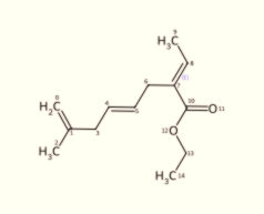 C=C(C)CC=CC/C(=C\C)C(=O)OCC